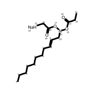 CCCCCCCCC=CCN(OC(=O)CC)OC(=O)CC.[NaH]